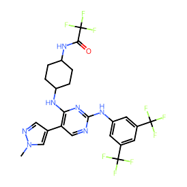 Cn1cc(-c2cnc(Nc3cc(C(F)(F)F)cc(C(F)(F)F)c3)nc2NC2CCC(NC(=O)C(F)(F)F)CC2)cn1